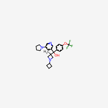 CC1(C(O)(c2ccc(OC(F)(F)F)cc2)c2cncc(N3CCCC3)c2)CN(C2CCC2)C1